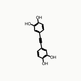 Oc1ccc(C#Cc2ccc(O)c(O)c2)cc1O